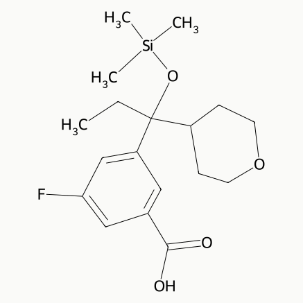 CCC(O[Si](C)(C)C)(c1cc(F)cc(C(=O)O)c1)C1CCOCC1